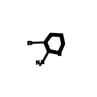 [CH2]Cc1cccnc1N